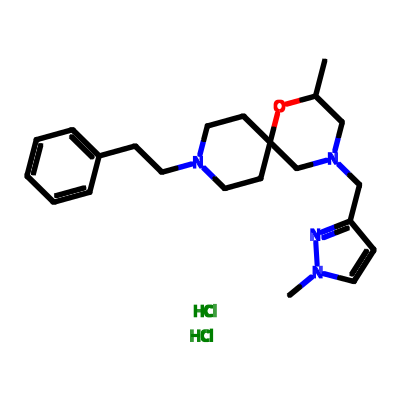 CC1CN(Cc2ccn(C)n2)CC2(CCN(CCc3ccccc3)CC2)O1.Cl.Cl